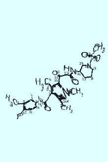 Cc1cc(NC(=O)c2c(C)c(C(=O)C(=O)NC3CCCN(S(C)(=O)=O)C3)n(C)c2C)ccc1F